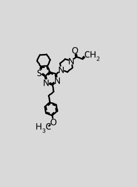 C=CC(=O)N1CCN(c2nc(CCc3ccc(OC)cc3)nc3sc4c(c23)CCCC4)CC1